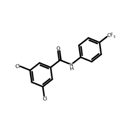 O=C(Nc1ccc(C(F)(F)F)cc1)c1cc(Cl)cc(Cl)c1